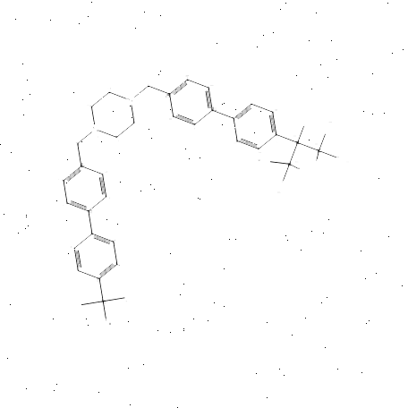 CC(C)(O)c1ccc(-c2ccc(CN3CCN(Cc4ccc(-c5ccc(C(O)(C(F)(F)F)C(F)(F)F)cc5)cc4)CC3)cc2)cc1